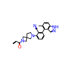 C=CC(=O)N1CC2(CCN(c3cccc(-c4c(C)ccc5[nH]ncc45)c3C#N)C2)C1